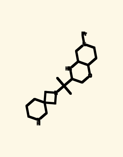 CC(C)N1CCC2OCC(C(C)(C)N3CC4(CCCNC4)C3)NC2C1